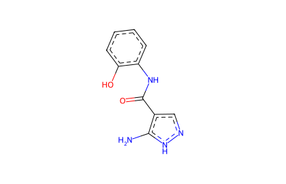 Nc1[nH]ncc1C(=O)Nc1ccccc1O